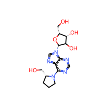 OC[C@H]1CCCN1c1ncnc2c1ncn2[C@@H]1O[C@H](CO)[C@H](O)C1O